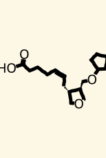 O=C(O)CCC/C=C\C[C@H]1COC[C@@H]1COC1CCCC1